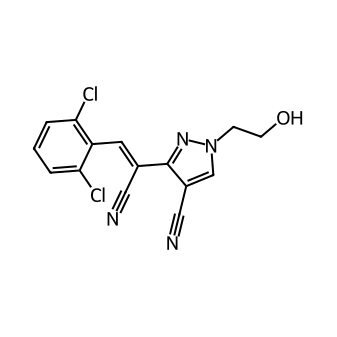 N#CC(=Cc1c(Cl)cccc1Cl)c1nn(CCO)cc1C#N